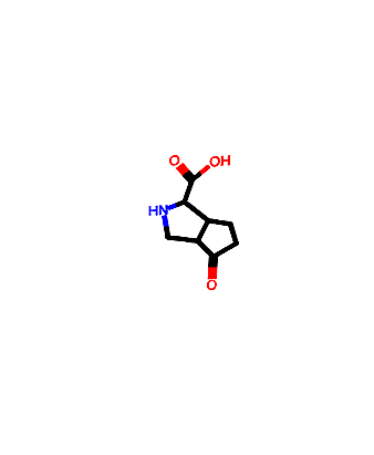 O=C1CCC2C1CNC2C(=O)O